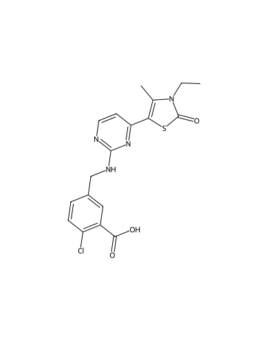 CCn1c(C)c(-c2ccnc(NCc3ccc(Cl)c(C(=O)O)c3)n2)sc1=O